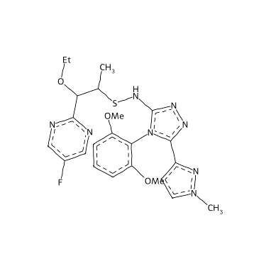 CCOC(c1ncc(F)cn1)C(C)SNc1nnc(-c2ccn(C)n2)n1-c1c(OC)cccc1OC